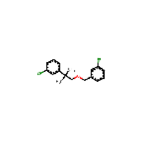 CC(C)(COCc1cccc(Br)c1)c1cccc(Cl)c1